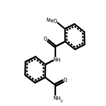 COc1ccccc1C(=O)Nc1ccccc1C(N)=O